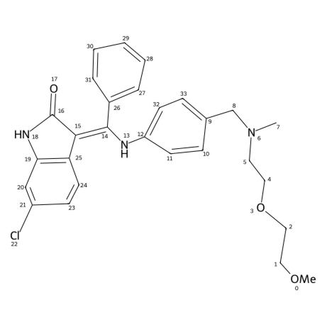 COCCOCCN(C)Cc1ccc(NC(=C2C(=O)Nc3cc(Cl)ccc32)c2ccccc2)cc1